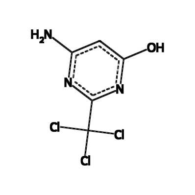 Nc1cc(O)nc(C(Cl)(Cl)Cl)n1